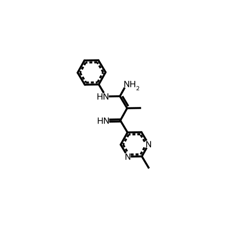 C/C(C(=N)c1cnc(C)nc1)=C(\N)Nc1ccccc1